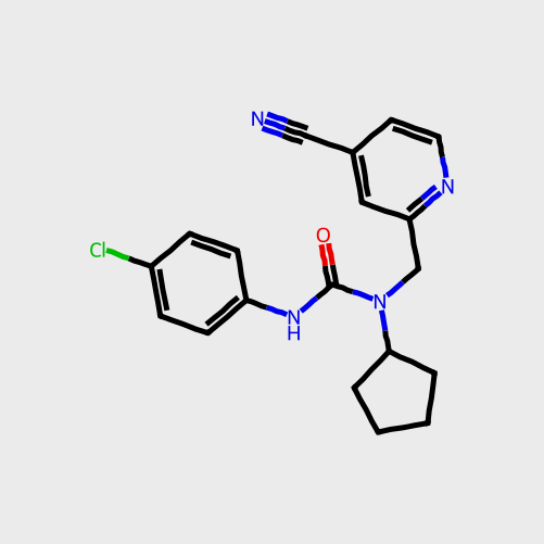 N#Cc1ccnc(CN(C(=O)Nc2ccc(Cl)cc2)C2CCCC2)c1